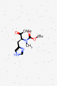 COC(=O)[C@H](Cc1c[nH]cn1)N(C)C(=O)OC(C)(C)C